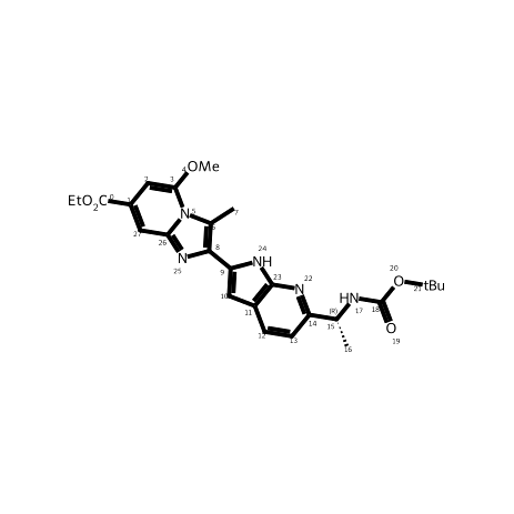 CCOC(=O)c1cc(OC)n2c(C)c(-c3cc4ccc([C@@H](C)NC(=O)OC(C)(C)C)nc4[nH]3)nc2c1